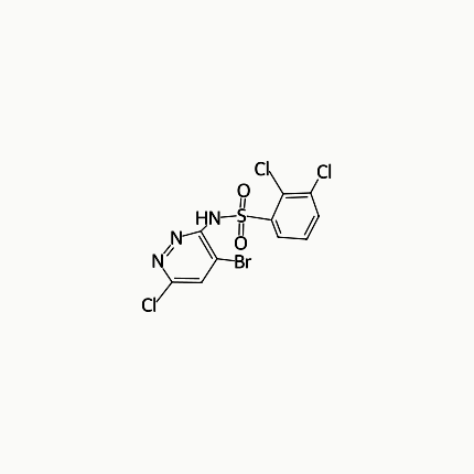 O=S(=O)(Nc1nnc(Cl)cc1Br)c1cccc(Cl)c1Cl